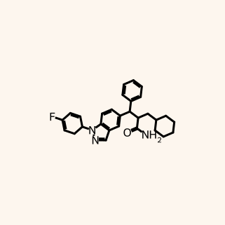 NC(=O)C(CC1CCCCC1)C(c1ccccc1)c1ccc2c(cnn2C2C=CC(F)=CC2)c1